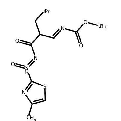 Cc1csc(/[SH](=O)=N/C(=O)C(/C=N/C(=O)OC(C)(C)C)CC(C)C)n1